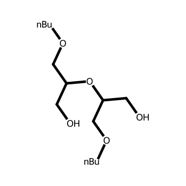 CCCCOCC(CO)OC(CO)COCCCC